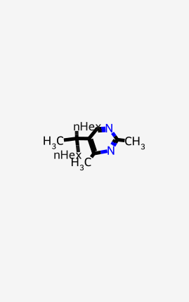 CCCCCCC(C)(CCCCCC)c1cnc(C)nc1C